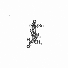 C[C@H](CCC(=O)OCc1ccccc1)[C@H]1CC[C@H]2[C@@H]3CC[C@@H]4C[C@@H](OC(=O)C[C@H](NC(=O)OC(C)(C)C)C(=O)OCc5ccccc5)CC[C@]4(C)[C@H]3CC[C@]12C